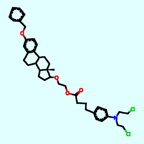 C[C@]12CCC3c4ccc(OCc5ccccc5)cc4CCC3C1CCC2OCCOC(=O)CCCc1ccc(N(CCCl)CCCl)cc1